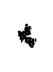 Cc1nc2cc(F)c(-c3cnc(C4(O)CCOCC4)nc3)cn2c1Cc1ccccc1OC(F)F